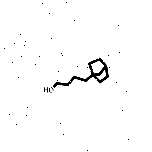 OCCCCC12CCC(CC1)C2